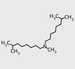 CC(C)CCCCCCN(C)CCCCCCC(C)C